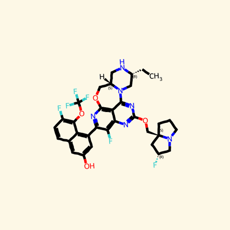 CC[C@@H]1CN2c3nc(OC[C@@]45CCCN4C[C@H](F)C5)nc4c(F)c(-c5cc(O)cc6ccc(F)c(OC(F)(F)F)c56)nc(c34)OC[C@@H]2CN1